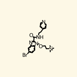 C[Si](C)(C)CCOCn1c(C(=O)NCCc2ccncc2)nc2cc(Br)ccc21